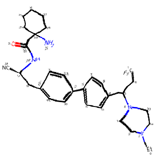 CCN1CCN(C(CC(F)(F)F)c2ccc(-c3ccc(C[C@@H](C#N)NC(=O)C4(N)CCCCC4)cc3)cc2)CC1